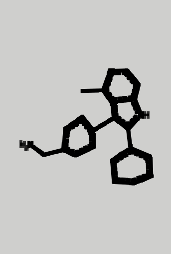 Cc1cccc2[nH]c(-c3ccccc3)c(-c3ccc(CN)cc3)c12